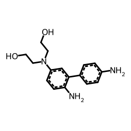 Nc1ccc(-c2cc(N(CCO)CCO)ccc2N)cc1